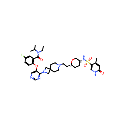 CCN(C(=O)c1cc(F)ccc1Oc1cncnc1N1CC2(CCN(CC[C@@H]3CC[C@@H](NS(=O)(=O)c4c[nH]c(=O)cc4C)CO3)CC2)C1)C(C)C